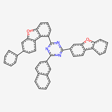 c1ccc(-c2ccc3c(c2)oc2cccc(-c4nc(-c5ccc6ccccc6c5)nc(-c5ccc6c(c5)oc5ccccc56)n4)c23)cc1